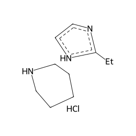 C1CCNCC1.CCc1ncc[nH]1.Cl